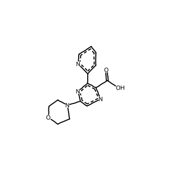 O=C(O)c1ncc(N2CCOCC2)nc1-c1ccccn1